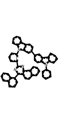 c1ccc(-n2c3ccccc3c3cc(-c4ccc5c6ccccc6n(-c6cccc(-c7nc(-c8cccc9ccccc89)c8ccc9ccccc9c8n7)c6)c5c4)ccc32)cc1